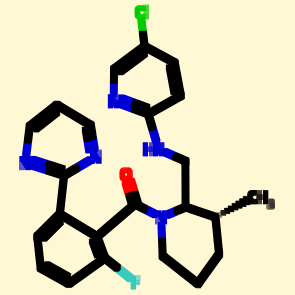 C[C@@H]1CCCN(C(=O)c2c(F)cccc2-c2ncccn2)C1CNc1ccc(Cl)cn1